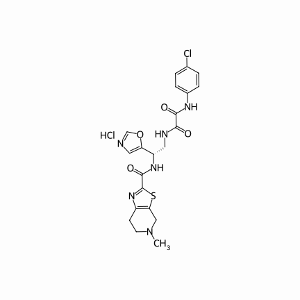 CN1CCc2nc(C(=O)N[C@@H](CNC(=O)C(=O)Nc3ccc(Cl)cc3)c3cnco3)sc2C1.Cl